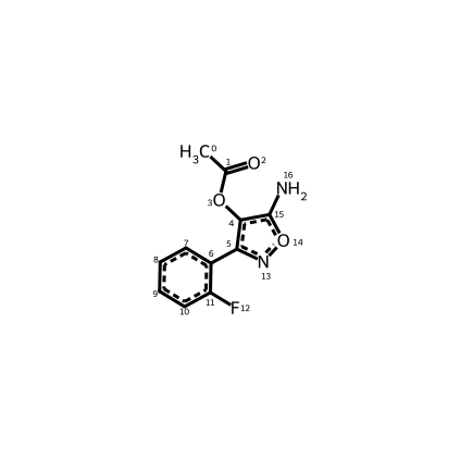 CC(=O)Oc1c(-c2ccccc2F)noc1N